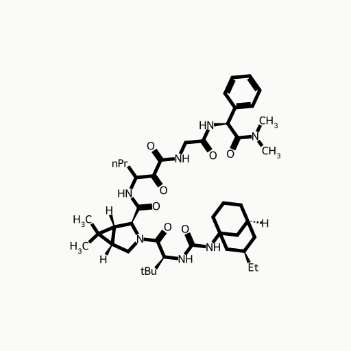 CCCC(NC(=O)[C@@H]1[C@@H]2[C@H](CN1C(=O)[C@@H](NC(=O)NC13CCC[C@@H](C[C@@H](CC)C1)C3)C(C)(C)C)C2(C)C)C(=O)C(=O)NCC(=O)N[C@H](C(=O)N(C)C)c1ccccc1